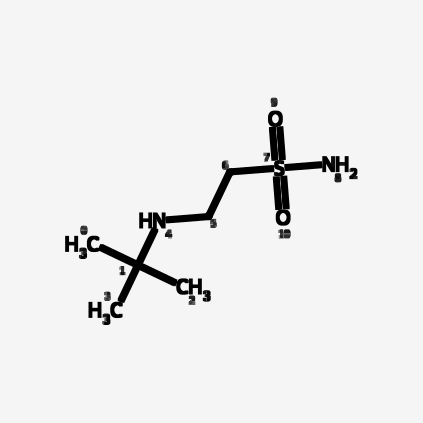 CC(C)(C)NCCS(N)(=O)=O